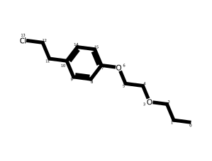 CCCOCCOc1ccc(CCCl)cc1